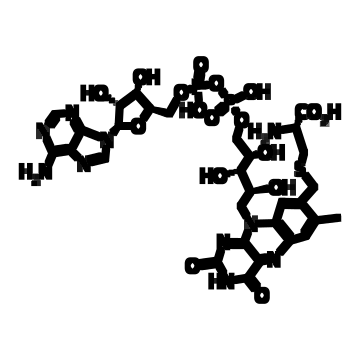 Cc1cc2nc3c(=O)[nH]c(=O)nc-3n(C[C@H](O)[C@H](O)[C@H](O)COP(=O)(O)OP(=O)(O)OC[C@H]3O[C@@H](n4cnc5c(N)ncnc54)[C@H](O)[C@@H]3O)c2cc1CSC[C@H](N)C(=O)O